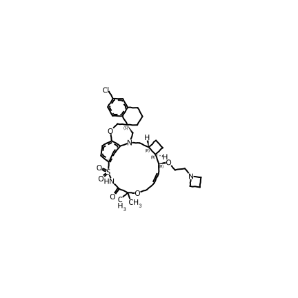 CC1(C)OCC=C[C@H](OCCN2CCC2)[C@@H]2CC[C@H]2CN2C[C@@]3(CCCc4cc(Cl)ccc43)COc3ccc(cc32)S(=O)(=O)NC1=O